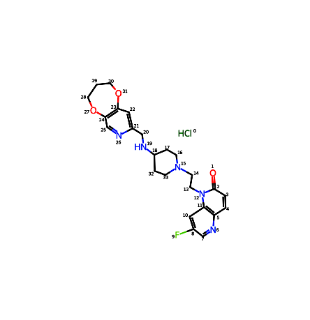 Cl.O=c1ccc2ncc(F)cc2n1CCN1CCC(NCc2cc3c(cn2)OCCCO3)CC1